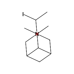 CC(C)C1C2CC1CN(C(C)I)C2